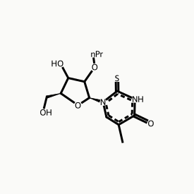 CCCOC1C(O)[C@H](CO)O[C@@H]1n1cc(C)c(=O)[nH]c1=S